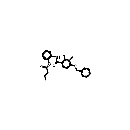 CCCC(=O)Oc1ccccc1NC(=O)c1ccc(OCc2ccccc2)c(C)c1C